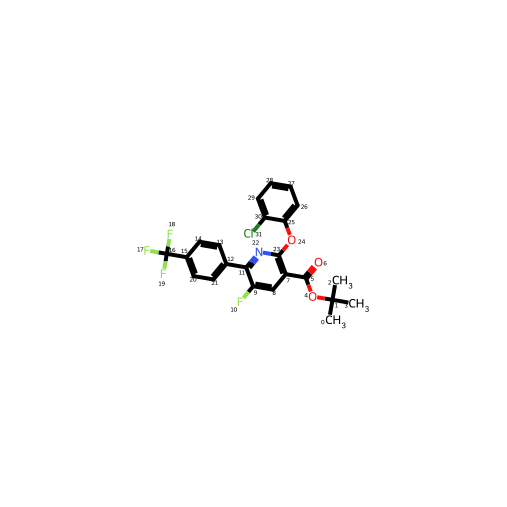 CC(C)(C)OC(=O)c1cc(F)c(-c2ccc(C(F)(F)F)cc2)nc1Oc1ccccc1Cl